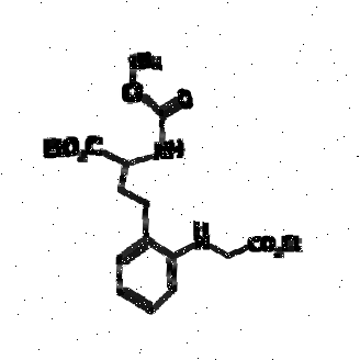 CCOC(=O)CNc1ccccc1CCC(NC(=O)OC(C)(C)C)C(=O)OCC